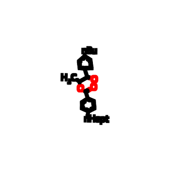 CCCCCCCc1ccc(C(=O)OC(C)C(=O)c2ccc(CCCC)cc2)cc1